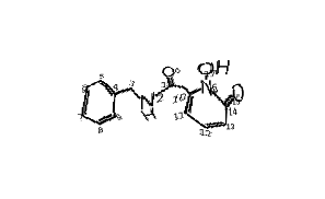 O=C(NCc1ccccc1)c1cccc(=O)n1O